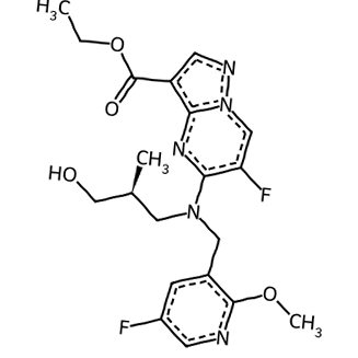 CCOC(=O)c1cnn2cc(F)c(N(Cc3cc(F)cnc3OC)C[C@H](C)CO)nc12